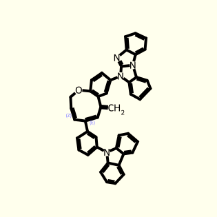 C=C1/C=C(c2cccc(-n3c4ccccc4c4ccccc43)c2)\C=C/COc2ccc(-n3c4ccccc4n4c5ccccc5nc34)cc21